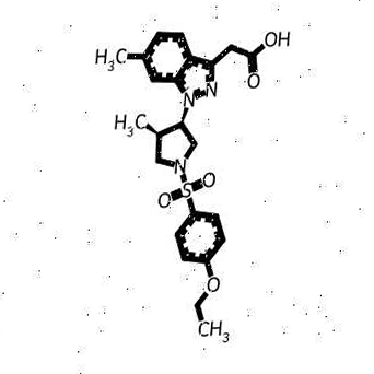 CCOc1ccc(S(=O)(=O)N2C[C@@H](C)[C@@H](n3nc(CC(=O)O)c4ccc(C)cc43)C2)cc1